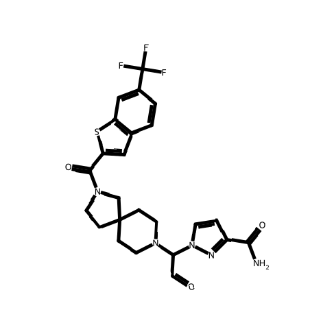 NC(=O)c1ccn(C(C=O)N2CCC3(CCN(C(=O)c4cc5ccc(C(F)(F)F)cc5s4)C3)CC2)n1